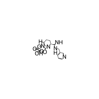 N=C(NCc1cccnc1)[C@@H]1CC[C@@H]2CN1C(=O)N2OS(=O)(=O)O